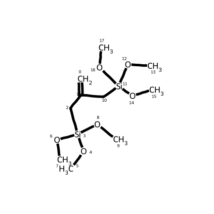 C=C(C[Si](OC)(OC)OC)C[Si](OC)(OC)OC